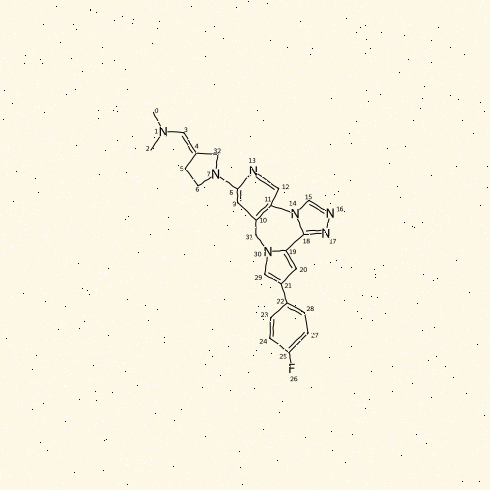 CN(C)/C=C1\CCN(c2cc3c(cn2)-n2cnnc2-c2cc(-c4ccc(F)cc4)cn2C3)C1